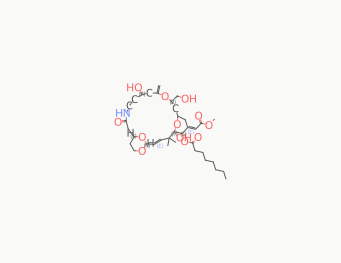 C=C1C[C@H](O)CCNC(=O)C[C@@H]2CCO[C@H](/C=C/C(C)(C)[C@]3(O)OC(C/C(=C\C(=O)OC)[C@@H]3OC(=O)CCCCCCC)C[C@H](CO)O1)O2